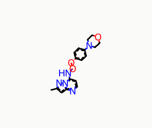 Cc1cc2nccc(NOOc3ccc(N4CCOCC4)cc3)n2n1